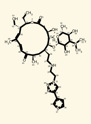 CC[C@H]1OC(=O)C[C@@H](O)[C@H](C)[C@@H](O[C@@H]2O[C@H](C)[C@@H](O)C(N(C)C)C2O)[C@@H](CCNCCn2cc(-c3ccsc3)nn2)C[C@@H](C)C(=O)/C=C/C(C)=C/[C@@H]1CO